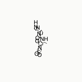 CCc1cc(N2CCS(=O)(=O)CC2)cc(OC)c1NC(=O)c1cccc(-c2cc[nH]n2)n1